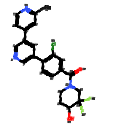 CC(C)(C)c1cc(-c2cncc(-c3ccc(C(=O)N4CCC(O)C(F)(F)C4)cc3Cl)c2)ccn1